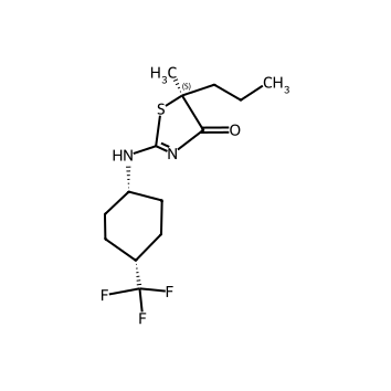 CCC[C@]1(C)SC(N[C@H]2CC[C@@H](C(F)(F)F)CC2)=NC1=O